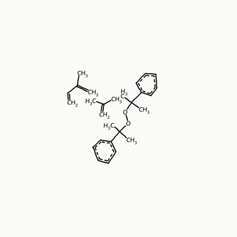 C=C(C)C.C=CC(=C)C.CC(C)(OOC(C)(C)c1ccccc1)c1ccccc1